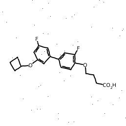 O=C(O)CCCOc1ccc(-c2cc(F)cc(OC3CCC3)c2)cc1F